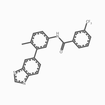 Cc1ccc(NC(=O)c2cccc(C(F)(F)F)c2)cc1-c1ccc2ncsc2c1